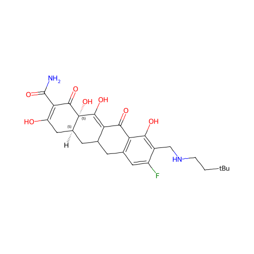 CC(C)(C)CCNCc1c(F)cc2c(c1O)C(=O)C1=C(O)[C@]3(O)C(=O)C(C(N)=O)=C(O)C[C@@H]3CC1C2